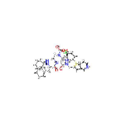 O=C(NCc1cc2cnccc2s1)[C@@H]1C(c2ccccc2Cl)N(C(=O)O)CCN1C(=O)C(CC1CCCCC1)NC1CCCCC1